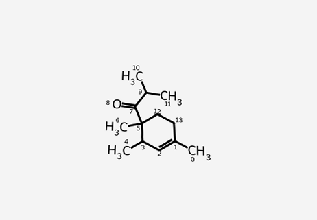 CC1=CC(C)C(C)(C(=O)C(C)C)CC1